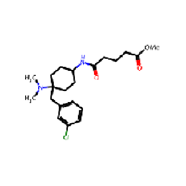 COC(=O)CCCC(=O)NC1CCC(Cc2cccc(Cl)c2)(N(C)C)CC1